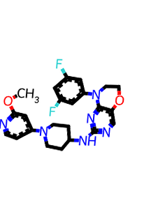 COc1cc(N2CCC(Nc3ncc4c(n3)N(c3cc(F)cc(F)c3)CCO4)CC2)ccn1